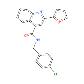 O=C(NCc1ccc(Cl)cc1)c1cc(-c2ccco2)nc2ccccc12